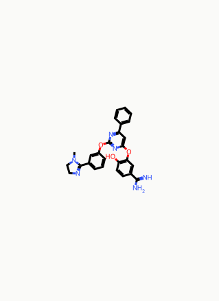 CN1CCN=C1c1cccc(Oc2nc(Oc3cc(C(=N)N)ccc3O)cc(-c3ccccc3)n2)c1